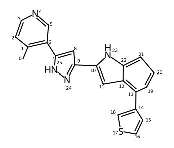 Cc1ccncc1-c1cc(-c2cc3c(-c4ccsc4)cccc3[nH]2)n[nH]1